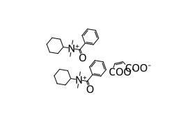 C[N+](C)(C(=O)c1ccccc1)C1CCCCC1.C[N+](C)(C(=O)c1ccccc1)C1CCCCC1.O=C([O-])/C=C\C(=O)[O-]